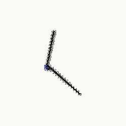 CCCCCCCCCCCCCCCCCCCCCCCCCc1ccnc(CCCCCCCCCCCCCCCCCCCCCC)c1